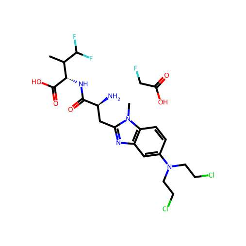 CC(C(F)F)[C@H](NC(=O)[C@@H](N)Cc1nc2cc(N(CCCl)CCCl)ccc2n1C)C(=O)O.O=C(O)CF